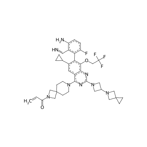 C=CC(=O)N1CC2(CCN(c3nc(N4CC(N5CC6(CC6)C5)C4)nc4c(OCC(F)(F)F)c(-c5c(F)ccc(N)c5C=N)c(C5CC5)cc34)CC2)C1